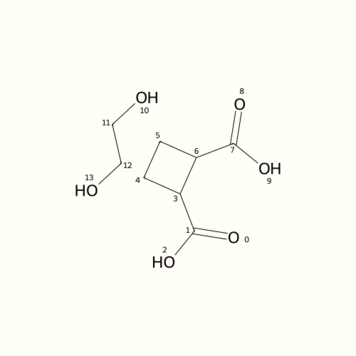 O=C(O)C1CCC1C(=O)O.OCCO